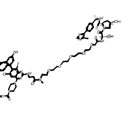 CCC(=O)N1CCN(c2nc(NCCC(=O)N(C)CCOCCOCCOCCOCCOCC(=O)N[C@H](C(=O)N3C[C@H](O)C[C@H]3C(=O)N[C@@H](C)c3ccc(-c4scnc4C)cc3)C(C)(C)C)nc3c(F)c(-c4cc(O)cc5ccccc45)c(Cl)cc23)CC1